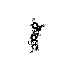 CN1CCN(Cc2cc(S(=O)(=O)n3cc(Br)c4cc(F)ccc43)ccc2Cl)CC1